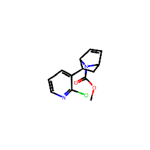 COC(=O)N1C2C=CC1C(c1cccnc1Cl)C2